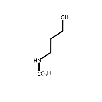 O=C(O)NCCCO